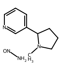 CN1CCCC1c1cccnc1.NN=O